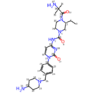 CCC1CN(C(=O)Nc2ccn(-c3ccc(CN4CCC(N)CC4)cc3)c(=O)n2)CCN1C(=O)C(C)(C)N